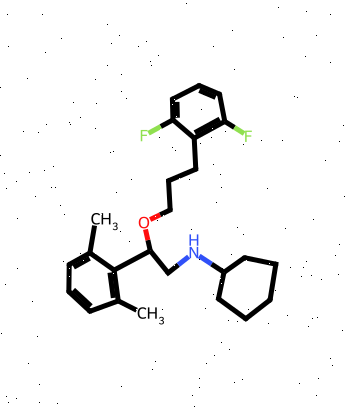 Cc1cccc(C)c1C(CNC1CCCCC1)OCCCc1c(F)cccc1F